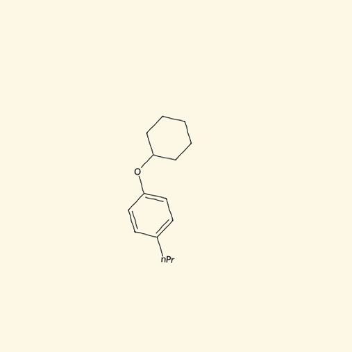 CCCc1ccc(OC2CCCCC2)cc1